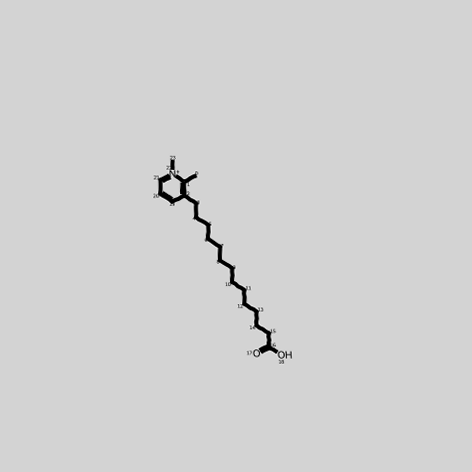 Cc1c(CCCCCCCCCCCCCC(=O)O)ccc[n+]1C